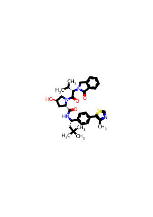 Cc1ncsc1-c1ccc([C@H](CC(C)(C)C)NC(=O)[C@@H]2C[C@@H](O)CN2C(=O)[C@H](C(C)C)N2Cc3ccccc3C2=O)cc1